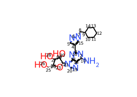 Nc1nc(-c2cnn(CC3CCCCC3)c2)nc2c1ncn2C1O[C@H](CO)C(O)[C@H]1O